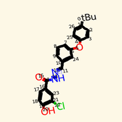 CC(C)(C)c1ccc(Oc2cccc(/C=N/NC(=O)c3ccc(O)c(Cl)c3)c2)cc1